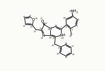 Nc1ccc(F)c(-c2cn3c(=O)c(Cc4ccco4)nc-3c(Cc3ccccc3)[nH]2)c1